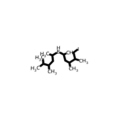 CC(BC(C)CC(C)C(C)CI)CC(C)C(C)C